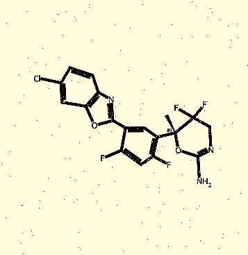 C[C@]1(c2cc(-c3nc4ccc(Cl)cc4o3)c(F)cc2F)OC(N)=NCC1(F)F